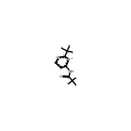 CC(C)(C)C(=O)Nc1ccnc(C(C)(C)C)n1